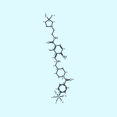 CC1=C(C(=O)NCCN2CCC(F)(F)C2)C=CC(=N)/C1=C\NCC1CCN(C(=O)c2ccc(S(F)(F)(F)(F)F)cc2)CC1